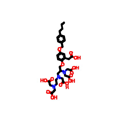 CCCCc1ccc(COc2ccc(OCC(CN(CCN(CC(=O)O)CC(=O)O)CC(=O)O)N(CC(=O)O)CC(=O)O)c(CC(=O)O)c2)cc1